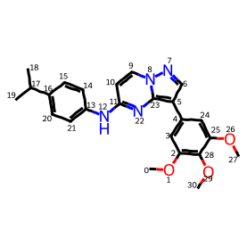 COc1cc(-c2cnn3ccc(Nc4ccc(C(C)C)cc4)nc23)cc(OC)c1OC